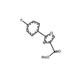 COC(=O)c1coc(-c2ccc(F)cc2)n1